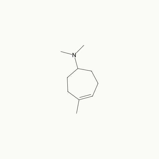 CC1=CCCC(N(C)C)CC1